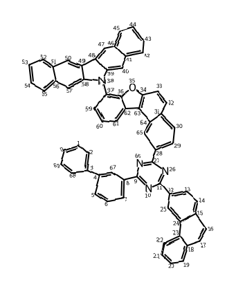 c1ccc(-c2cccc(-c3nc(-c4ccc5ccc6ccccc6c5c4)nc(-c4ccc5ccc6oc7c(-n8c9cc%10ccccc%10cc9c9cc%10ccccc%10cc98)cccc7c6c5c4)n3)c2)cc1